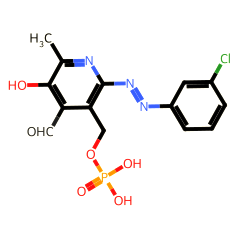 Cc1nc(N=Nc2cccc(Cl)c2)c(COP(=O)(O)O)c(C=O)c1O